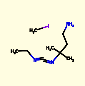 CCN=C=NC(C)(C)CCN.CI